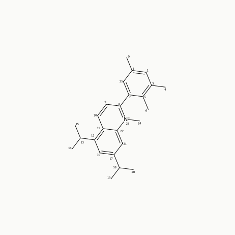 Cc1cc(C)c(C)c(-c2ccc3c(C(C)C)cc(C(C)C)cc3[n+]2C)c1